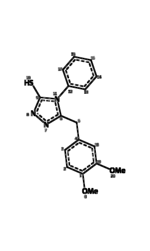 COc1ccc(Cc2nnc(S)n2-c2ccccc2)cc1OC